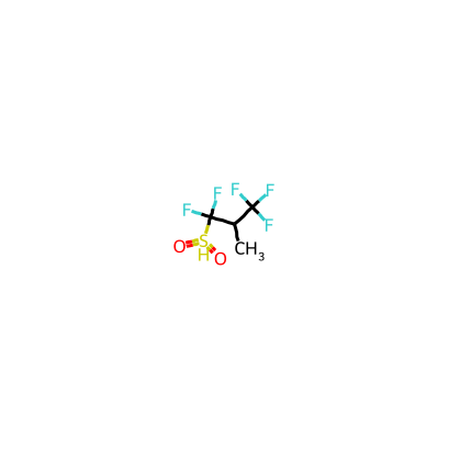 CC(C(F)(F)F)C(F)(F)[SH](=O)=O